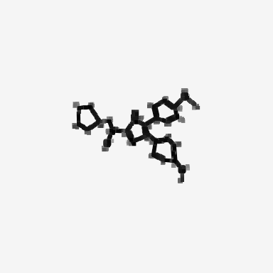 COc1ccc(-c2nc([S+]([O-])CC3CCCC3)[nH]c2-c2ccc(OC)cc2)cc1